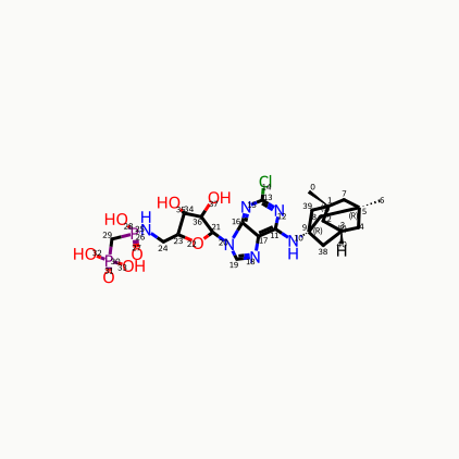 C[C@]12C[C@@H]3C[C@](C)(C1)C[C@@](Nc1nc(Cl)nc4c1ncn4C1OC(CNP(=O)(O)CP(=O)(O)O)C(O)C1O)(C3)C2